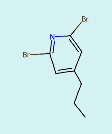 CCCc1cc(Br)nc(Br)c1